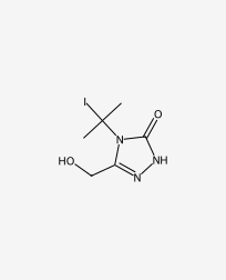 CC(C)(I)n1c(CO)n[nH]c1=O